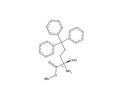 CC(C)(C)OC(=O)[C@](N)(C=O)CSC(c1ccccc1)(c1ccccc1)c1ccccc1